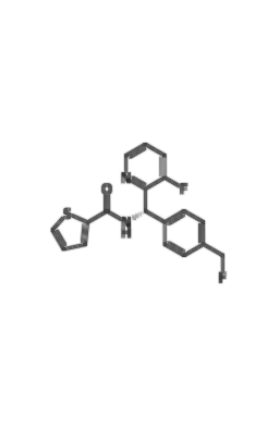 O=C(N[C@@H](c1ccc(CF)cc1)c1ncccc1F)c1cccs1